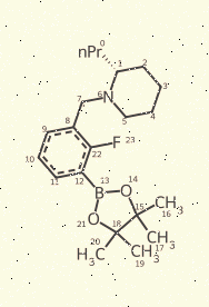 CCC[C@@H]1CCCCN1[C]c1cccc(B2OC(C)(C)C(C)(C)O2)c1F